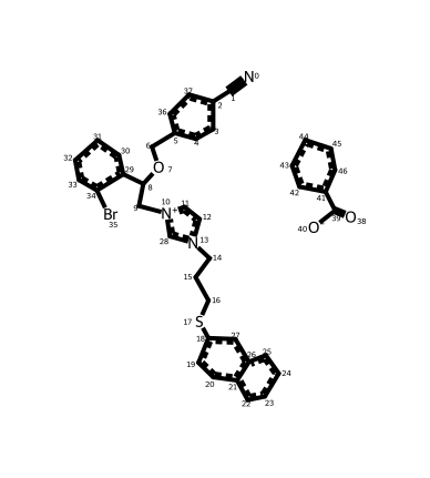 N#Cc1ccc(COC(C[n+]2ccn(CCCSc3ccc4ccccc4c3)c2)c2ccccc2Br)cc1.O=C([O-])c1ccccc1